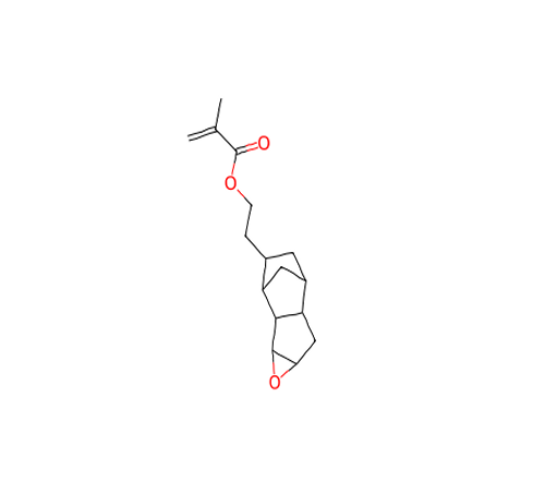 C=C(C)C(=O)OCCC1CC2CC1C1C2CC2OC21